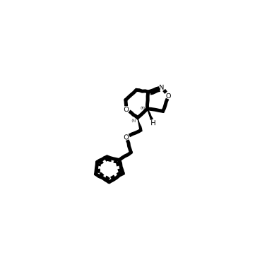 c1ccc(COC[C@H]2OCCC3=NOC[C@@H]32)cc1